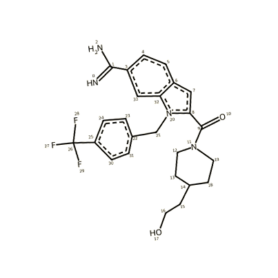 N=C(N)c1ccc2cc(C(=O)N3CCC(CCO)CC3)n(Cc3ccc(C(F)(F)F)cc3)c2c1